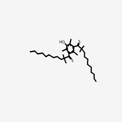 CCCCCCCCCC(C)(C)C(=S)c1c(C)c(O)c(C)c(C(=S)C(C)(C)CCCCCCCCC)c1C